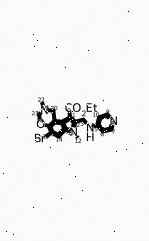 CCOC(=O)c1c(CNc2ccncc2)n(C)c2cc(Br)c3c(c12)CN(C)CO3